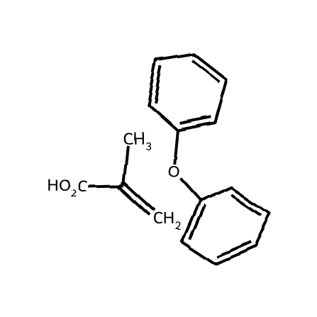 C=C(C)C(=O)O.c1ccc(Oc2ccccc2)cc1